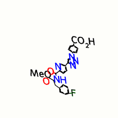 COC(=O)C(Cc1ccc(F)cc1)NC(=O)c1ccc(-c2cn(-c3ccc(C(=O)O)cc3)nn2)cn1